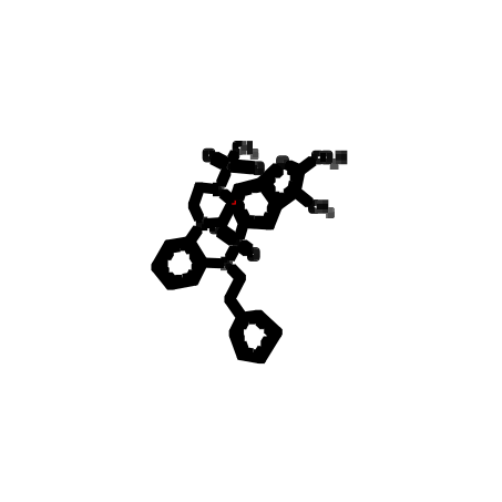 Cc1c(C(=O)O)oc2ccc(S(=O)(=O)N(CCc3ccccc3)c3ccccc3N3CCN(S(C)(=O)=O)CC3)cc12